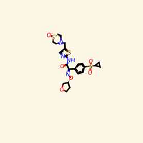 O=C(Nc1ncc(CN2CC[S+]([O-])CC2)s1)/C(=N/O[C@@H]1CCOC1)c1ccc(S(=O)(=O)C2CC2)cc1